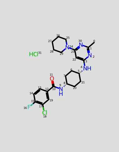 Cc1nc(N[C@H]2CC[C@@H](NC(=O)c3ccc(F)c(Cl)c3)CC2)cc(N2CCCCC2)n1.Cl